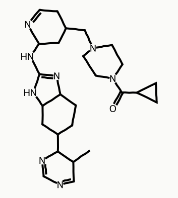 CC1C=NC=NC1C1CCC2N=C(NC3CC(CN4CCN(C(=O)C5CC5)CC4)CC=N3)NC2C1